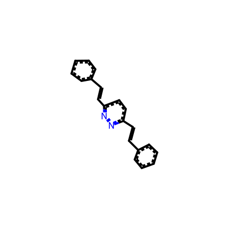 C(=Cc1ccc(C=Cc2ccccc2)nn1)c1ccccc1